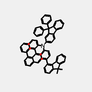 CC1(C)c2ccccc2-c2c(-c3ccc(N(c4ccc5c(c4)C(c4ccccc4)(c4ccccc4)c4ccccc4-5)c4ccccc4-c4cccc5cccc(-c6ccccc6)c45)cc3)cccc21